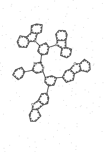 c1ccc(-c2cc(-c3cc(-c4ccc5c(c4)oc4ccccc45)cc(-c4ccc5c(c4)oc4ccccc45)c3)nc(-c3cc(-n4c5ccccc5c5ccccc54)cc(-n4c5ccccc5c5ccccc54)c3)n2)cc1